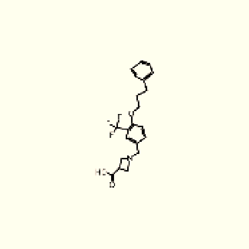 O=C(O)C1CN(Cc2ccc(OCCCc3ccccc3)c(C(F)(F)F)c2)C1